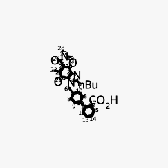 CCCCc1nc2c(n1Cc1ccc(-c3ccccc3C(=O)O)cc1)C(=O)C(C)=C(C(=O)N(C)C)C2=O